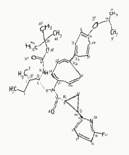 CC[C@H](C)[C@@H](CN(C(=O)[C@@H]1C[C@H]1c1cccc(F)n1)c1ccc(-c2ccc(OC(C)C)cc2)cc1)NC(=O)OC(C)(C)C